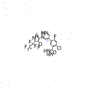 CCCNC(=O)c1cc(/C(C=N)=C/Nc2c(OF)c(C(F)(F)C(F)(F)F)nn2C)c(F)cc1Cl